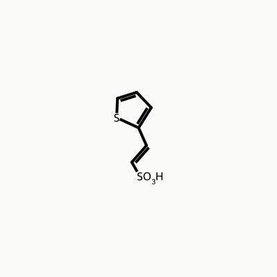 O=S(=O)(O)C=Cc1cccs1